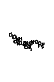 Cc1c(C(=O)N2CCN(Cc3ccc(OC(F)C(F)F)cc3)CC2)nnn1Cc1ccc(C(=O)Nc2ccc(Cl)cc2)nc1